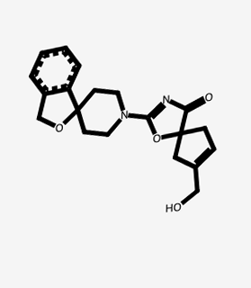 O=C1N=C(N2CCC3(CC2)OCc2ccccc23)OC12CC=C(CO)C2